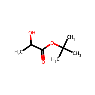 [CH2]C(O)C(=O)OC(C)(C)C